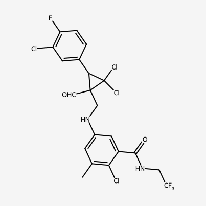 Cc1cc(NCC2(C=O)C(c3ccc(F)c(Cl)c3)C2(Cl)Cl)cc(C(=O)NCC(F)(F)F)c1Cl